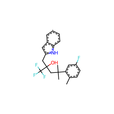 Cc1ccc(F)cc1C(C)(C)CC(O)(Cc1cc2c[c]ccc2[nH]1)C(F)(F)F